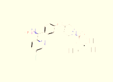 CO/N=C(/c1ccc(OC2CCN(C(=O)OC(C)(C)C)CC2)cc1)c1ccc(F)cn1